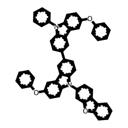 c1ccc(Oc2ccc3c(c2)c2cc(-c4ccc5c(c4)c4cc(Oc6ccccc6)ccc4n5-c4ccc5c(c4)oc4ccccc45)ccc2n3-c2ccccc2)cc1